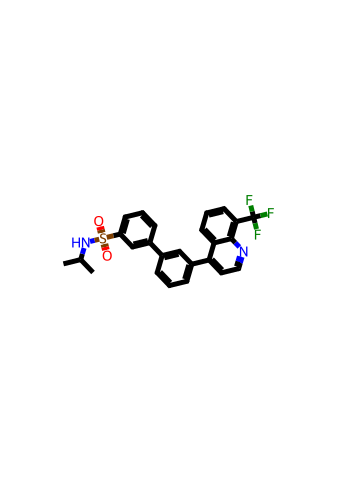 CC(C)NS(=O)(=O)c1cccc(-c2cccc(-c3ccnc4c(C(F)(F)F)cccc34)c2)c1